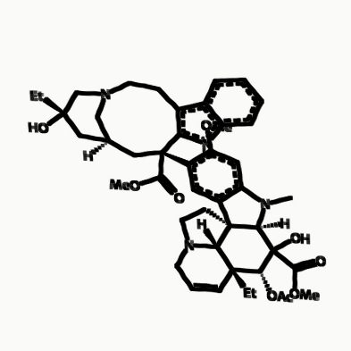 CC[C@]1(O)C[C@H]2CN(CCc3c([nH]c4ccccc34)[C@@](C(=O)OC)(c3cc4c(cc3OC)N(C)[C@H]3C(O)(C(=O)OC)[C@H](OC(C)=O)[C@]5(CC)C=CCN6CC[C@]43[C@@H]65)C2)C1